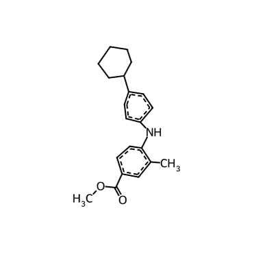 COC(=O)c1ccc(Nc2ccc(C3CCCCC3)cc2)c(C)c1